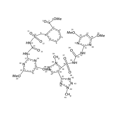 COC(=O)c1ccccc1CS(=O)(=O)NC(=O)Nc1nc(OC)cc(OC)n1.COc1cc(OC)nc(NC(=O)NS(=O)(=O)c2c(-c3nnn(C)n3)cnn2C)n1